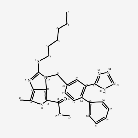 CCCCCCSc1nc2c(C)sc(C(=O)OC)c2n1Cc1ccc(-c2ccccc2)c(-c2nnn[nH]2)c1